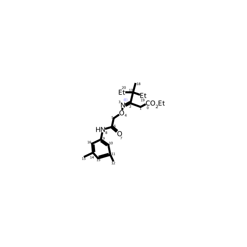 CCOC(=O)C/C(=N\OCC(=O)Nc1cc(C)cc(C)c1)C(C)(CC)CC